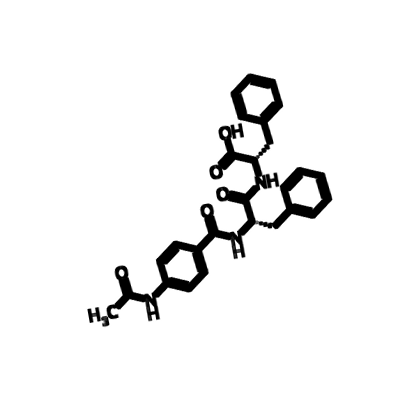 CC(=O)Nc1ccc(C(=O)N[C@@H](Cc2ccccc2)C(=O)N[C@@H](Cc2ccccc2)C(=O)O)cc1